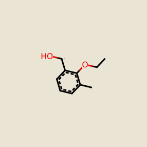 CCOc1c(C)cccc1[CH]O